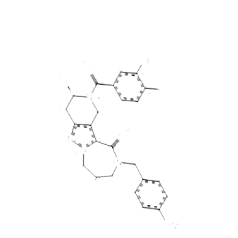 COc1ccc(CN2CCCn3nc4c(c3C2=O)CN(C(=O)c2ccc(Cl)c(Cl)c2)[C@H](C)C4)cc1